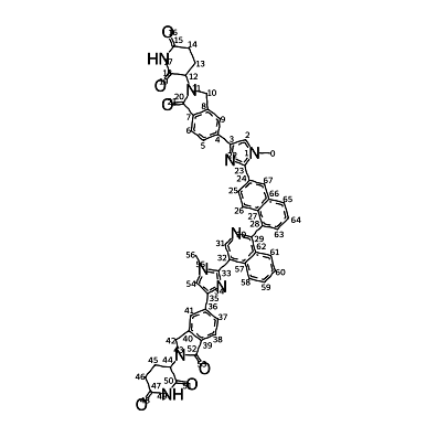 Cn1cc(-c2ccc3c(c2)CN(C2CCC(=O)NC2=O)C3=O)nc1-c1ccc2c(-c3ncc(-c4nc(-c5ccc6c(c5)CN(C5CCC(=O)NC5=O)C6=O)cn4C)c4ccccc34)cccc2c1